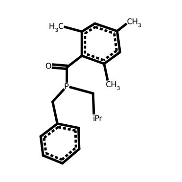 Cc1cc(C)c(C(=O)P(Cc2ccccc2)CC(C)C)c(C)c1